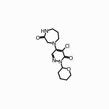 O=C1CN(c2cnn(C3CCCCO3)c(=O)c2Cl)CCCN1